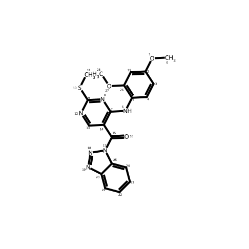 COc1ccc(Nc2nc(SC)ncc2C(=O)n2nnc3ccccc32)c(OC)c1